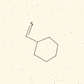 S=CC1CCCCC1